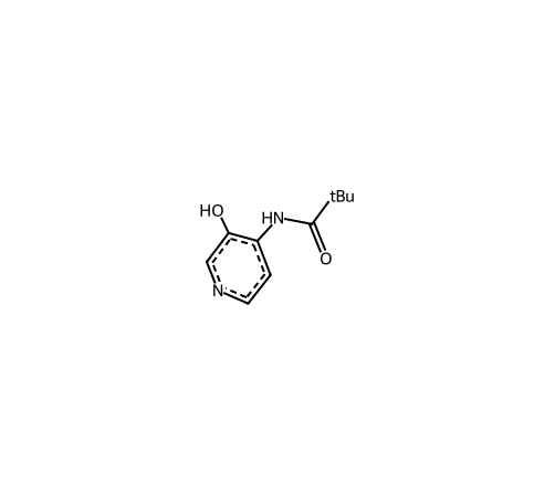 CC(C)(C)C(=O)Nc1ccncc1O